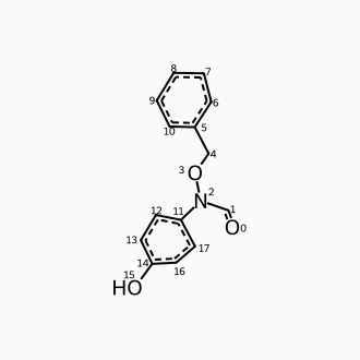 O=CN(OCc1ccccc1)c1ccc(O)cc1